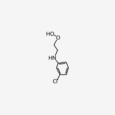 OOCCNc1cccc(Cl)c1